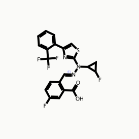 O=C(O)c1cc(F)ccc1/C=N/N(c1nc(-c2ccccc2C(F)(F)F)cs1)C1CC1F